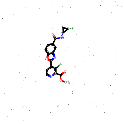 COC(=O)c1nccc(-c2nc3cc(C(=O)N[C@H]4C[C@@H]4F)ccc3o2)c1F